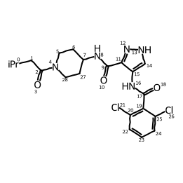 CC(C)CC(=O)N1CCC(NC(=O)c2n[nH]cc2NC(=O)c2c(Cl)cccc2Cl)CC1